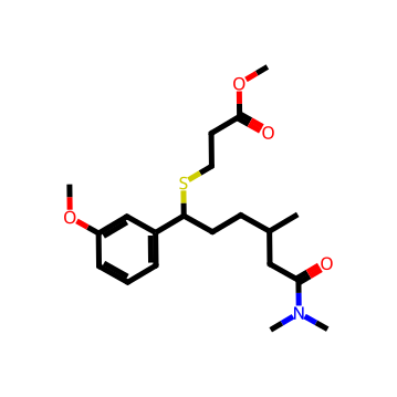 COC(=O)CCSC(CCC(C)CC(=O)N(C)C)c1cccc(OC)c1